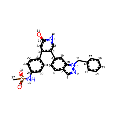 Cn1cc(-c2ccc3cnn(Cc4ccccc4)c3c2)c(-c2ccc(NS(C)(=O)=O)cc2)cc1=O